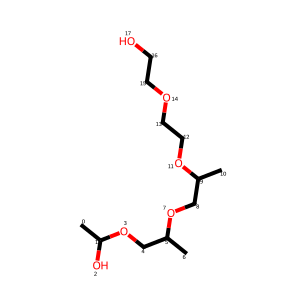 CC(O)OCC(C)OCC(C)OCCOCCO